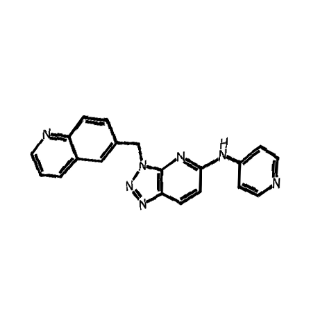 c1cnc2ccc(Cn3nnc4ccc(Nc5ccncc5)nc43)cc2c1